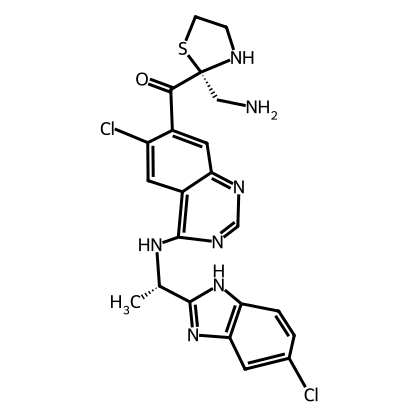 C[C@H](Nc1ncnc2cc(C(=O)[C@]3(CN)NCCS3)c(Cl)cc12)c1nc2cc(Cl)ccc2[nH]1